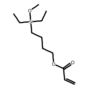 C=CC(=O)OCCCC[Si](CC)(CC)OC